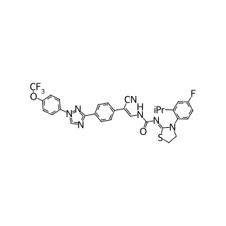 CC(C)c1cc(F)ccc1N1CCS/C1=N\C(=O)N/C=C(\C#N)c1ccc(-c2ncn(-c3ccc(OC(F)(F)F)cc3)n2)cc1